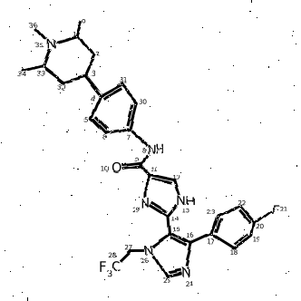 CC1CC(c2ccc(NC(=O)c3c[nH]c(-c4c(-c5ccc(F)cc5)ncn4CC(F)(F)F)n3)cc2)CC(C)N1C